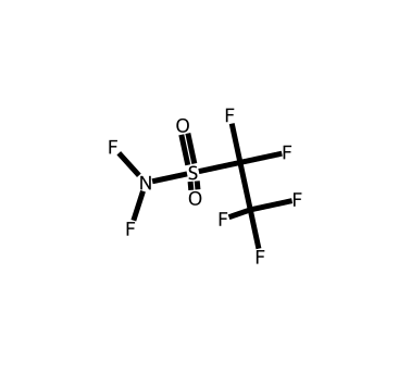 O=S(=O)(N(F)F)C(F)(F)C(F)(F)F